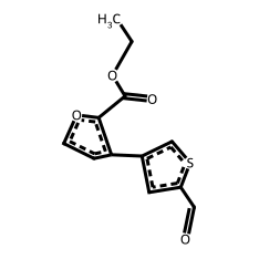 CCOC(=O)c1occc1-c1csc(C=O)c1